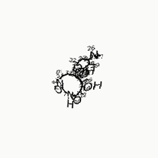 C[C@H]1CN(C)C(=O)CNC(=O)[C@H](C)[C@@H](O)[C@H](C)[C@@H](O[C@@H]2O[C@H](C)C[C@H](N(C)C)[C@H]2C)[C@](C)(O)C1